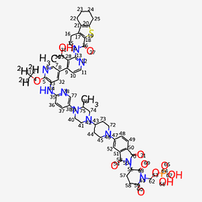 [2H]C([2H])([2H])Oc1ncc(-c2ccnc(N3CCc4c(sc5c4CCCC5)C3=O)c2[C@@H](C)O)cc1Nc1ccc(N2CCN(C3CCN(c4ccc5c(c4)C(=O)N(C4CCC(=O)N(COP(=O)(O)O)C4=O)C5=O)CC3)C[C@@H]2C)cn1